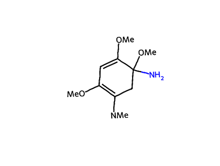 CNC1=C(OC)C=C(OC)C(N)(OC)C1